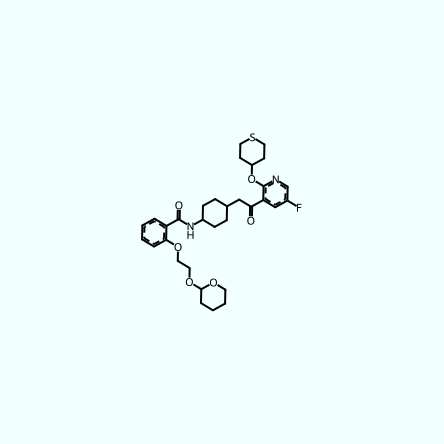 O=C(NC1CCC(CC(=O)c2cc(F)cnc2OC2CCSCC2)CC1)c1ccccc1OCCOC1CCCCO1